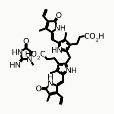 C=CC1=C(C)/C(=C/c2[nH]c(Cc3[nH]c(/C=C4\NC(=O)C(C)=C4C=C)c(C)c3CCC(=O)O)c(CCC(=O)O)c2C)NC1=O.CN1CC(=O)NC1=N